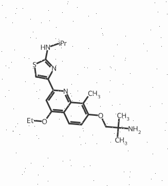 CCOc1cc(-c2csc(NC(C)C)n2)nc2c(C)c(OCC(C)(C)N)ccc12